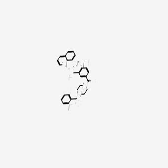 O=C(c1ccc(N[S+]([O-])c2cccc3cccnc23)c(CF)c1)N1CCN(C(=O)c2c(F)cccc2F)CC1